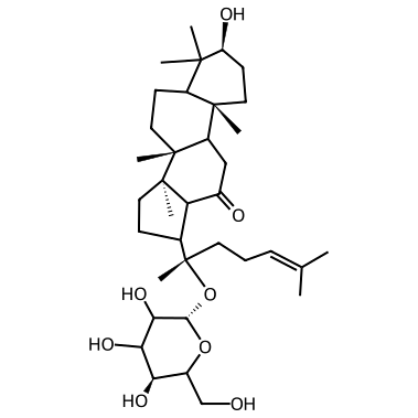 CC(C)=CCC[C@](C)(O[C@@H]1OC(CO)[C@@H](O)C(O)C1O)C1CC[C@]2(C)C1C(=O)CC1[C@@]3(C)CC[C@H](O)C(C)(C)C3CC[C@]12C